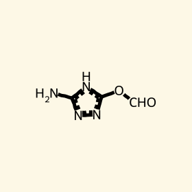 Nc1nnc(OC=O)[nH]1